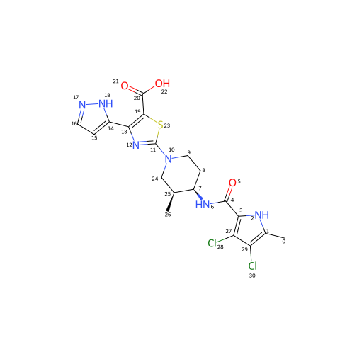 Cc1[nH]c(C(=O)N[C@@H]2CCN(c3nc(-c4ccn[nH]4)c(C(=O)O)s3)C[C@@H]2C)c(Cl)c1Cl